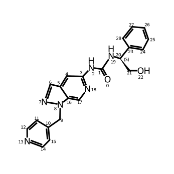 O=C(Nc1cc2cnn(Cc3ccncc3)c2cn1)N[C@H](CO)c1ccccc1